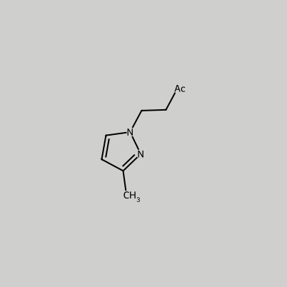 CC(=O)CCn1ccc(C)n1